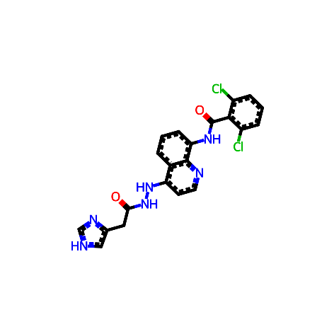 O=C(Cc1c[nH]cn1)NNc1ccnc2c(NC(=O)c3c(Cl)cccc3Cl)cccc12